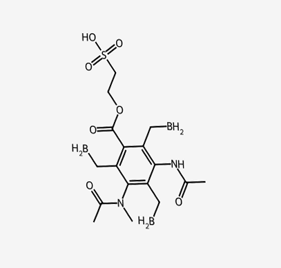 BCc1c(NC(C)=O)c(CB)c(N(C)C(C)=O)c(CB)c1C(=O)OCCS(=O)(=O)O